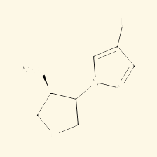 CO[C@@H]1COCC1n1cc(Br)cn1